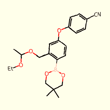 CCOC(C)OCc1cc(Oc2ccc(C#N)cc2)ccc1B1OCC(C)(C)CO1